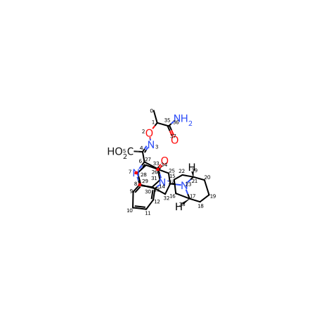 CC(O/N=C(\C(=O)O)c1nc2ccccc2n([C@H]2C[C@H]3CCC[C@@H](C2)N3C2CC3CCCC(C3)C2)c1=O)C(N)=O